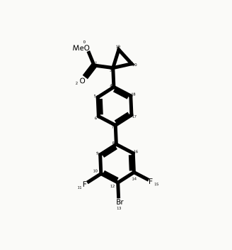 COC(=O)C1(c2ccc(-c3cc(F)c(Br)c(F)c3)cc2)CC1